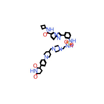 O=C1CCC(c2ccc(N3CCC(CN4CCN(CCNS(=O)(=O)Nc5cccc(-c6cn7cc(C(=O)NC8CCC8)ccc7n6)c5)CC4)CC3)cc2)C(=O)N1